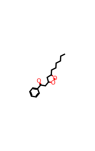 CCCCCCC1CC(CC(=O)c2ccccc2)OO1